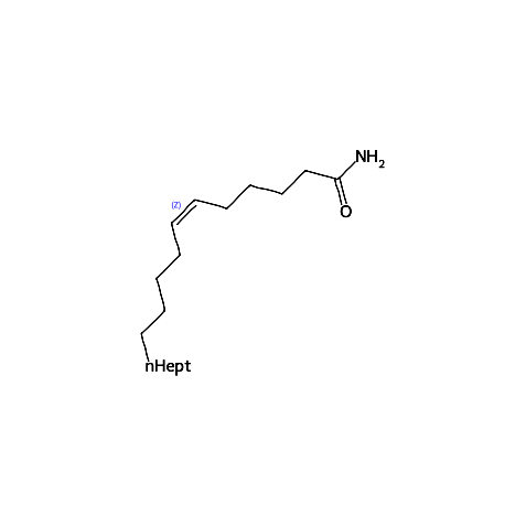 CCCCCCCCCCC/C=C\CCCCC(N)=O